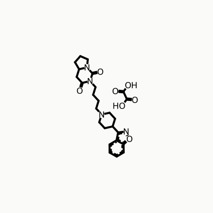 O=C(O)C(=O)O.O=C1CC2CCCN2C(=O)N1CCCCN1CCC(c2noc3ccccc23)CC1